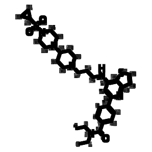 CCN(CC)C(=O)c1ccc(-c2cc(NCCCN3CCC(N4CCN(S(=O)(=O)C5CC5)CC4)CC3)c3sccc3n2)cc1